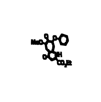 CCOC(=O)c1cc(=O)c2cc(OC)c(=O)c(Oc3ccccc3)cc2[nH]1